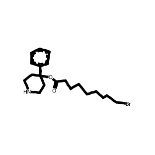 O=C(CCCCCCCCBr)OC1(c2ccccc2)CCNCC1